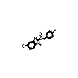 Cn1c([S+]([O-])Cc2ccc(F)cc2)nc2cc(Cl)ccc21